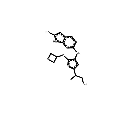 CC(CO)n1cc(Nc2ncc3cc(C#N)[nH]c3n2)c(OC2COC2)n1